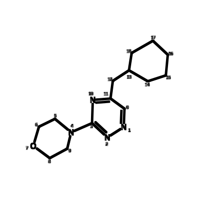 c1nnc(N2CCOCC2)nc1CC1CCCCC1